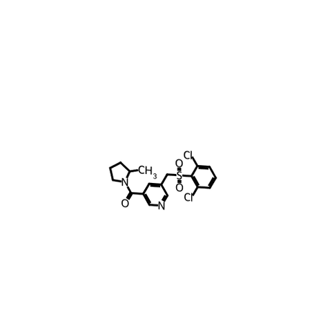 CC1CCCN1C(=O)c1cncc(CS(=O)(=O)c2c(Cl)cccc2Cl)c1